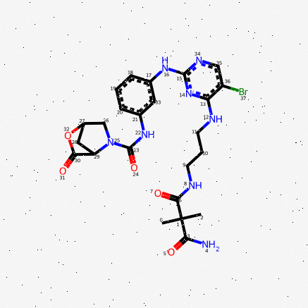 CC(C)(C(N)=O)C(=O)NCCCNc1nc(Nc2cccc(NC(=O)N3CC4CC3C(=O)O4)c2)ncc1Br